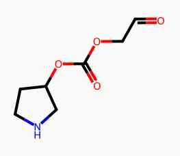 O=CCOC(=O)OC1CCNC1